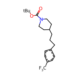 CC(C)(C)OC(=O)N1CCC(CCCc2ccc(C(F)(F)F)cc2)CC1